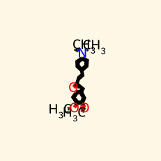 CCN(CC)c1ccc(C=Cc2cc3cc(OC)c(OC)cc3o2)cc1